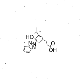 CC(C)(C)c1cc(CCC(=O)O)cc(-n2nc3ccccc3n2)c1O